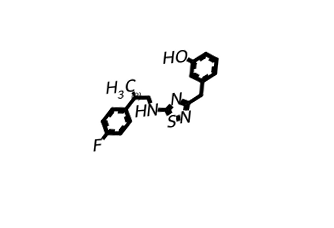 C[C@@H](CNc1nc(Cc2cccc(O)c2)ns1)c1ccc(F)cc1